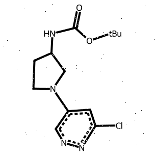 CC(C)(C)OC(=O)NC1CCN(c2cnnc(Cl)c2)C1